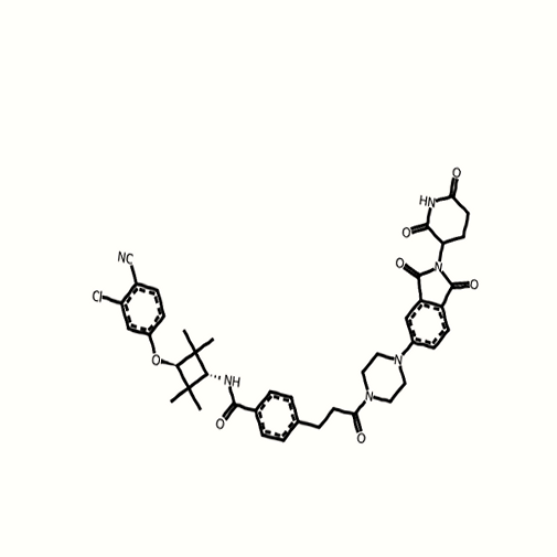 CC1(C)[C@H](NC(=O)c2ccc(CCC(=O)N3CCN(c4ccc5c(c4)C(=O)N(C4CCC(=O)NC4=O)C5=O)CC3)cc2)C(C)(C)[C@H]1Oc1ccc(C#N)c(Cl)c1